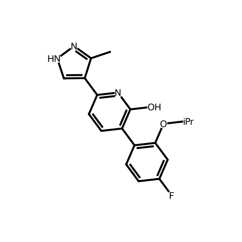 Cc1n[nH]cc1-c1ccc(-c2ccc(F)cc2OC(C)C)c(O)n1